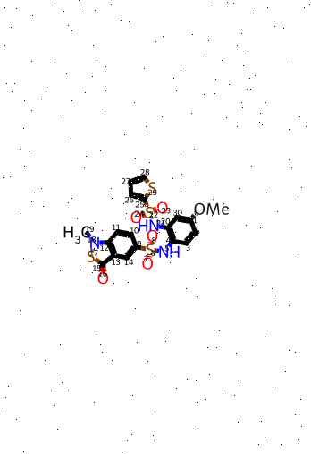 COc1ccc(NS(=O)(=O)c2ccc3c(c2)c(=O)sn3C)c(NS(=O)(=O)c2cccs2)c1